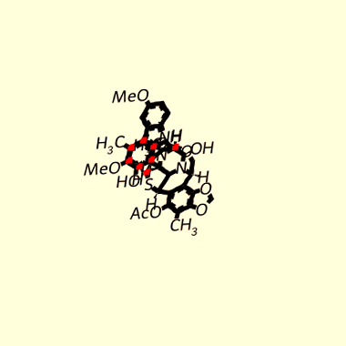 COc1ccc2[nH]c3c(c2c1)CCN[C@]31CS[C@@H]2c3c(OC(C)=O)c(C)c4c(c3[C@H](COCC1=O)N1C2[C@@H]2c3c(cc(C)c(OC)c3O)C[C@H]([C@@H]1O)N2C)OCO4